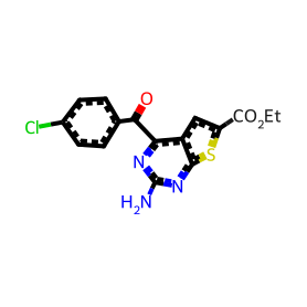 CCOC(=O)c1cc2c(C(=O)c3ccc(Cl)cc3)nc(N)nc2s1